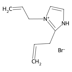 C=CCc1[nH]cc[n+]1CC=C.[Br-]